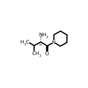 CC(C)[C@H](N)C(=O)N1CCCCC1